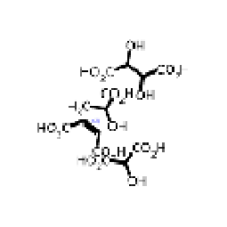 CC(O)C(=O)O.O=C(O)/C=C\C(=O)O.O=C(O)C(O)C(=O)O.O=C(O)C(O)C(O)C(=O)O